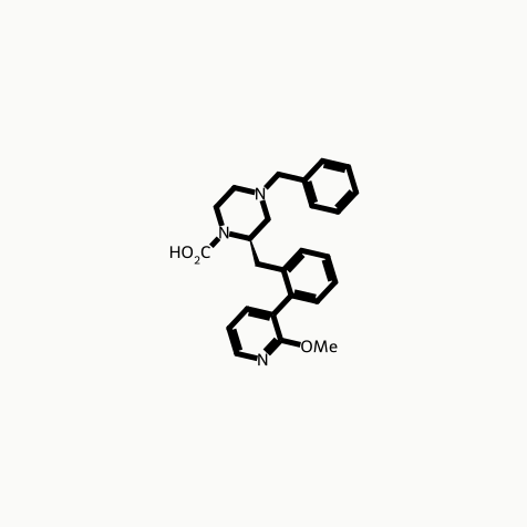 COc1ncccc1-c1ccccc1C[C@@H]1CN(Cc2ccccc2)CCN1C(=O)O